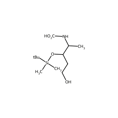 CC(NC(=O)O)C(CCO)O[Si](C)(C)C(C)(C)C